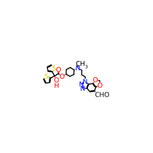 CN(CCCn1nnc2cc(C=O)c3c(c21)OCO3)[C@H]1CC[C@H](OC(=O)C(O)(c2cccs2)c2cccs2)CC1